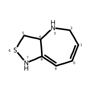 C1=CCNC2CSNC2=C1